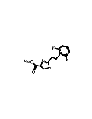 COC(=O)C1CSC(CCc2c(F)cccc2F)=N1